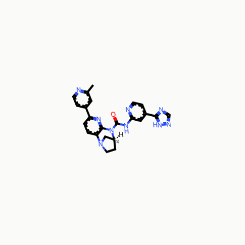 Cc1cc(-c2ccc3c(n2)N(C(=O)Nc2cc(-c4ncn[nH]4)ccn2)[C@H]2CCN3C2)ccn1